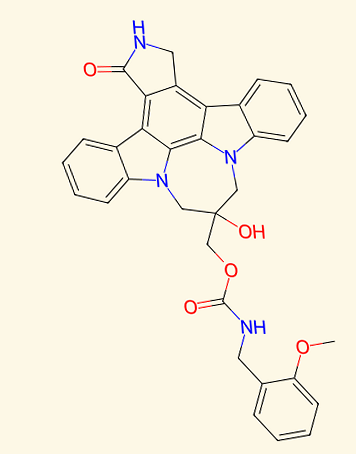 COc1ccccc1CNC(=O)OCC1(O)Cn2c3ccccc3c3c4c(c5c6ccccc6n(c5c32)C1)C(=O)NC4